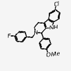 COc1ccc(C2c3[nH]c4ccc(Cl)cc4c3CCN2Cc2ccc(F)cc2)cc1